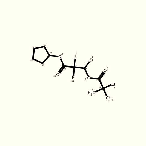 CCC(OC(=O)C(C)(C)CC)C(F)(F)C(=O)OC1CCCC1